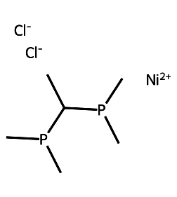 CC(P(C)C)P(C)C.[Cl-].[Cl-].[Ni+2]